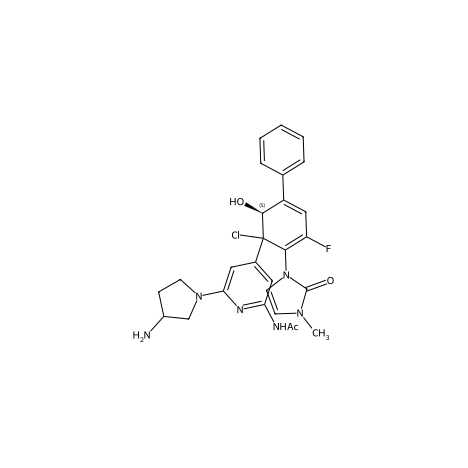 CC(=O)Nc1cc(C2(Cl)C(n3ccn(C)c3=O)=C(F)C=C(c3ccccc3)[C@@H]2O)cc(N2CCC(N)C2)n1